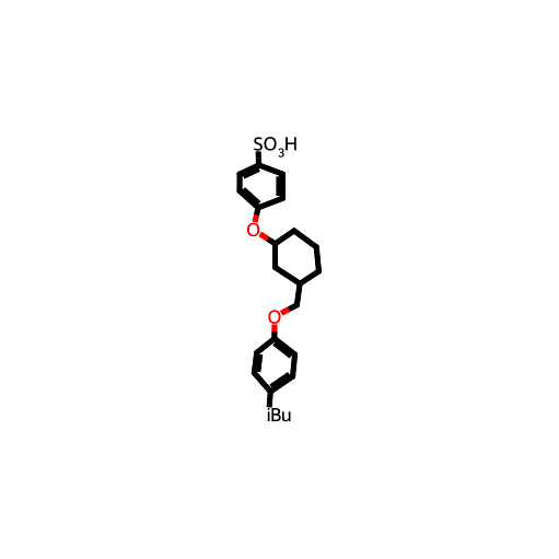 CCC(C)c1ccc(OCC2CCCC(Oc3ccc(S(=O)(=O)O)cc3)C2)cc1